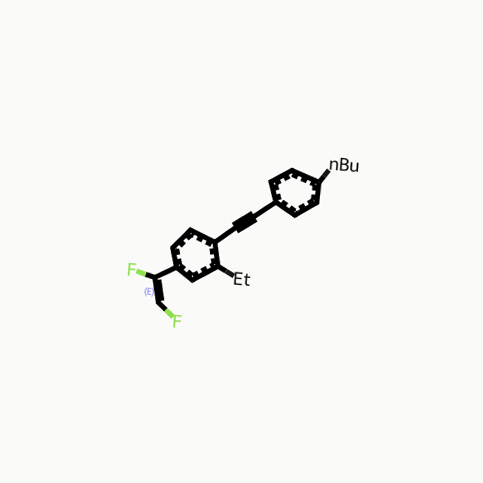 CCCCc1ccc(C#Cc2ccc(/C(F)=C\F)cc2CC)cc1